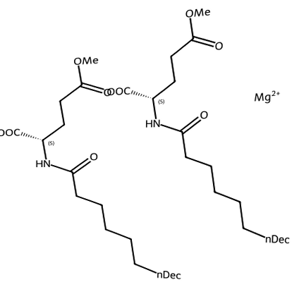 CCCCCCCCCCCCCCCC(=O)N[C@@H](CCC(=O)OC)C(=O)[O-].CCCCCCCCCCCCCCCC(=O)N[C@@H](CCC(=O)OC)C(=O)[O-].[Mg+2]